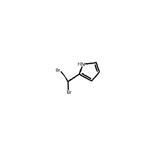 Br[C](Br)c1ccc[nH]1